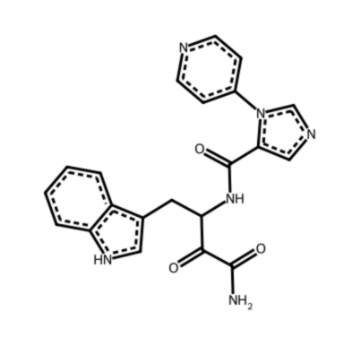 NC(=O)C(=O)C(Cc1c[nH]c2ccccc12)NC(=O)c1cncn1-c1ccncc1